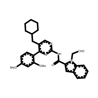 COc1ccc(-c2nc(NC(=O)c3cc4ccccc4n3CC=O)ncc2CC2CCCCC2)c(OC)c1